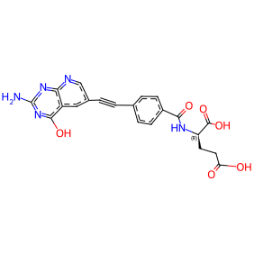 Nc1nc(O)c2cc(C#Cc3ccc(C(=O)N[C@H](CCC(=O)O)C(=O)O)cc3)cnc2n1